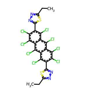 CCc1nnc(-c2c(Cl)c(Cl)c3c(Cl)c4c(Cl)c(-c5nnc(CC)s5)c(Cl)c(Cl)c4c(Cl)c3c2Cl)s1